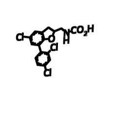 O=C(O)NCC1Cc2cc(Cl)cc(-c3ccc(Cl)cc3Cl)c2O1